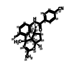 C[C@]1(c2cc(NC(=O)c3ccc(C#N)cn3)ccc2F)N=C(N)O[C@@H]2CCC(F)(F)[C@@H]21